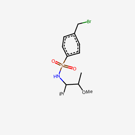 COC(C)C(NS(=O)(=O)c1ccc(CBr)cc1)C(C)C